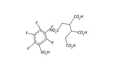 O=C(O)CC(C(=O)O)C(CC(=O)O)C(=O)O.O=S(=O)(O)c1c(F)c(F)c(F)c(F)c1F